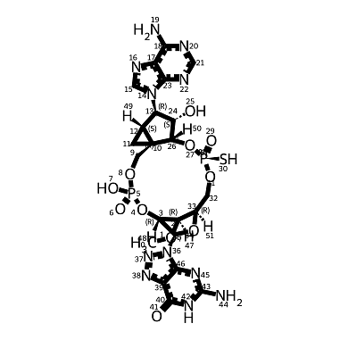 CO[C@H]1[C@H]2OP(=O)(O)OC[C@@]34C[C@@H]3[C@@H](n3cnc5c(N)ncnc53)[C@H](O)[C@@H]4O[P@@](=O)(S)OC[C@H]1O[C@H]2n1nnc2c(=O)[nH]c(N)nc21